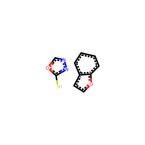 Sc1nnco1.c1ccc2occc2c1